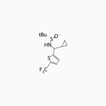 CC(C)(C)[S@+]([O-])NC(c1ccc(C(F)(F)F)s1)C1CC1